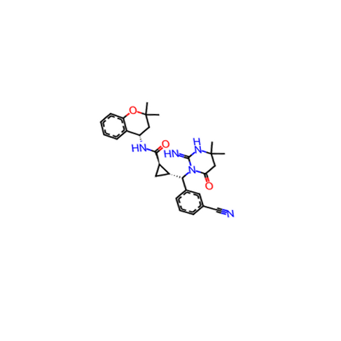 CC1(C)CC(=O)N(C(c2cccc(C#N)c2)[C@@H]2C[C@H]2C(=O)N[C@H]2CC(C)(C)Oc3ccccc32)C(=N)N1